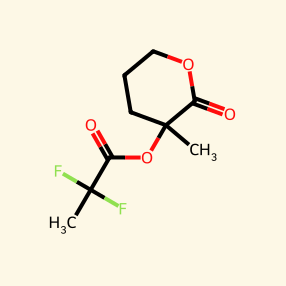 CC(F)(F)C(=O)OC1(C)CCCOC1=O